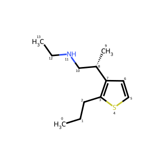 CCCc1sccc1[C@@H](C)CNCC